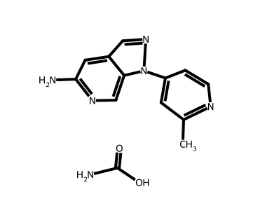 Cc1cc(-n2ncc3cc(N)ncc32)ccn1.NC(=O)O